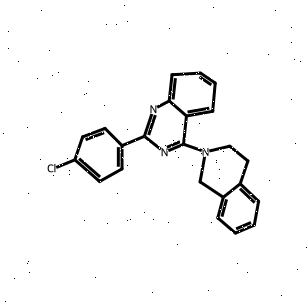 Clc1ccc(-c2nc(N3CCc4ccccc4C3)c3ccccc3n2)cc1